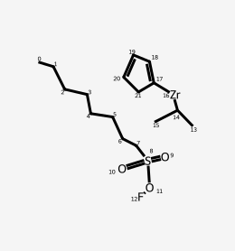 CCCCCCCCS(=O)(=O)OF.C[CH](C)[Zr][C]1=CC=CC1